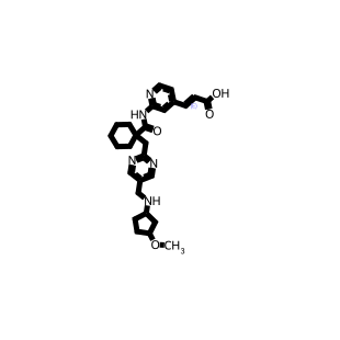 COC1CCC(NCc2cnc(CC3(C(=O)Nc4cc(/C=C/C(=O)O)ccn4)CCCCC3)nc2)C1